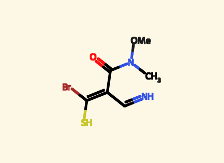 CON(C)C(=O)/C(C=N)=C(/S)Br